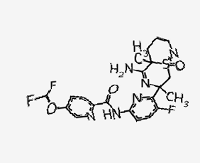 CC1(c2nc(NC(=O)c3ccc(OC(F)F)cn3)ccc2F)CS2(=O)=NCCCC2(C)C(N)=N1